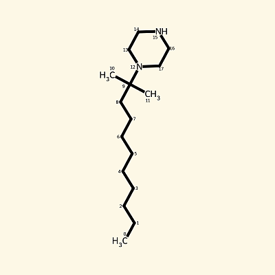 CCCCCCCCCC(C)(C)N1CCNCC1